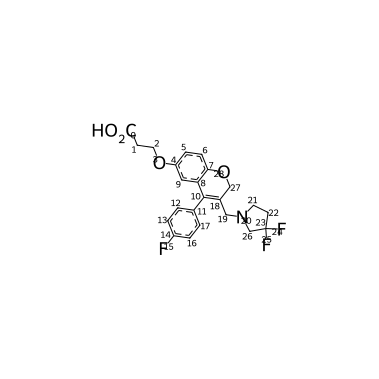 O=C(O)CCOc1ccc2c(c1)C(c1ccc(F)cc1)=C(CN1CCC(F)(F)C1)CO2